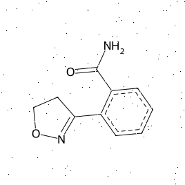 NC(=O)c1ccccc1C1=NOCC1